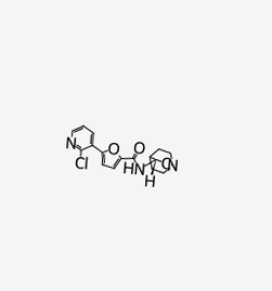 O=C(N[C@H]1CN2CCC1CC2)c1ccc(-c2cccnc2Cl)o1